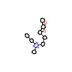 c1ccc(-c2ccc(-c3nc(-c4ccccc4)nc(-c4cccc(-c5cccc(-c6cccc7c6oc6cc8oc9ccccc9c8cc67)c5)c4)n3)cc2)cc1